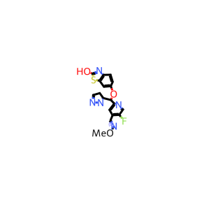 CO/N=C/c1cc(C(Oc2ccc3nc(O)sc3c2)C2=NN=CC2)ncc1F